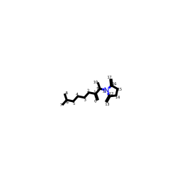 C=C(CCCCC(C)C)C(C)N1C(=C)CCC1=C